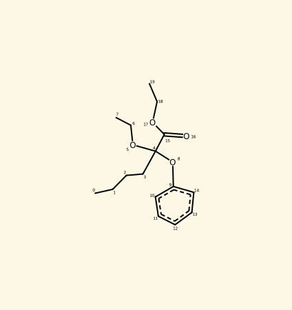 CCCCC(OCC)(Oc1ccccc1)C(=O)OCC